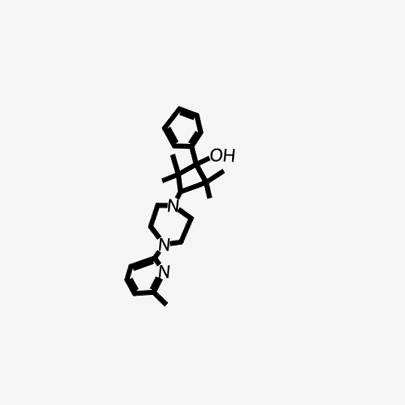 Cc1cccc(N2CCN(C3C(C)(C)C(O)(c4ccccc4)C3(C)C)CC2)n1